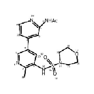 CC(=O)Nc1cc(-c2cnc(C)c(NS(=O)(=O)N3CCOCC3)c2)ccn1